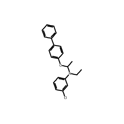 CCN(c1cccc(Cl)c1)C(C)Oc1ccc(-c2ccccc2)cc1